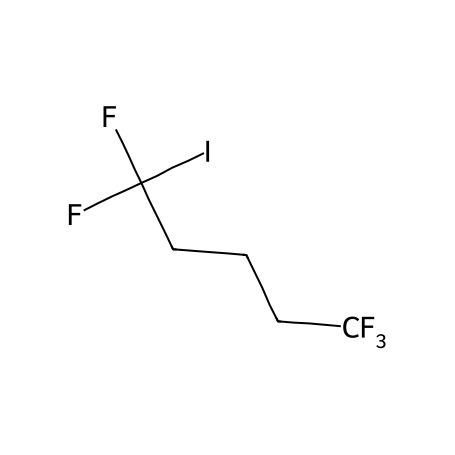 FC(F)(F)CCCC(F)(F)I